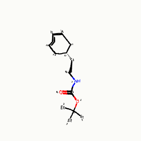 CCC(CC)(CC)OC(=O)NCC[C@@H]1CC=CCC1